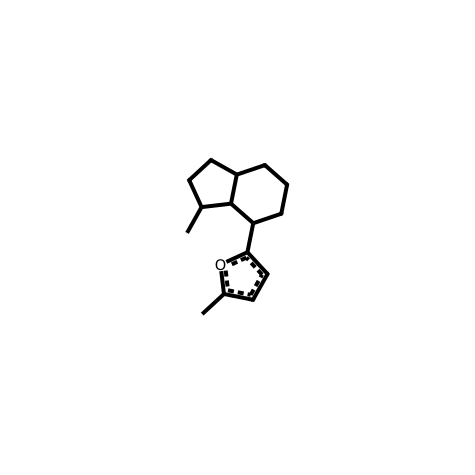 Cc1ccc(C2CCCC3CCC(C)C32)o1